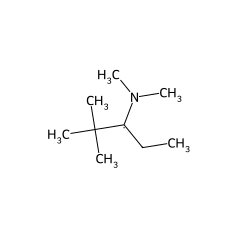 CC[C](N(C)C)C(C)(C)C